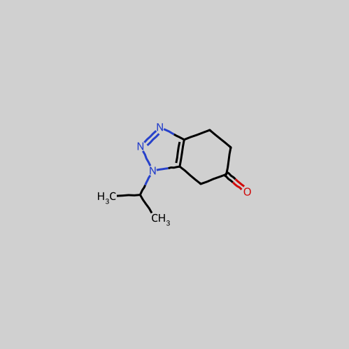 CC(C)n1nnc2c1CC(=O)CC2